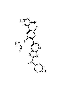 CN(c1nc2nnc(-c3cc(F)c(-c4c[nH]nc4F)cc3F)cc2s1)C1CCNCC1.O=CO